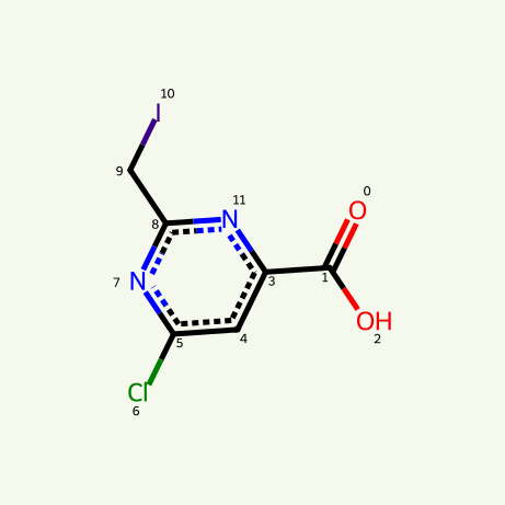 O=C(O)c1cc(Cl)nc(CI)n1